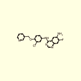 Nc1cc2c(Nc3ccc(OCc4cccnc4)c(Cl)c3)ncnc2cc1F